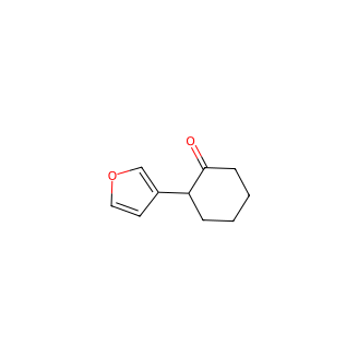 O=C1CCCCC1c1ccoc1